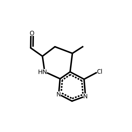 CC1CC(C=O)Nc2ncnc(Cl)c21